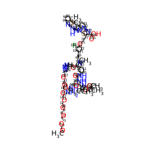 COCCOCCOCCOCCOCCOCCOCCOCCn1cc(COCc2cc(NC(=O)[C@H](CCCNC(N)=O)NC(=O)[C@@H](NC(=O)OC(C)(C)C)C(C)C)ccc2C[N+](C)(C)CC#Cc2ccc(OCCCc3sc(N4CCCc5c4nnc(Nc4nc6ccccc6s4)c5C)nc3C(=O)O)c(F)c2)nn1